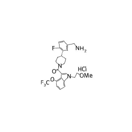 COCCn1cc(C(=O)N2CCC(c3cc(CN)ccc3F)CC2)c2c(OC(F)(F)F)cccc21.Cl